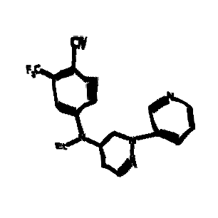 CCN(c1ccc(C#N)c(C(F)(F)F)c1)C1CC=NN(c2cccnc2)C1